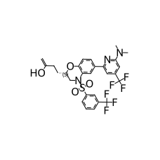 C=C(O)CC[C@H]1CN(S(=O)(=O)c2cccc(C(F)(F)F)c2)c2cc(-c3cc(C(F)(F)F)cc(N(C)C)n3)ccc2O1